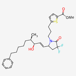 COC(=O)c1ccc(CCCN2C(=O)C(F)(F)CC2C=C[C@@H](O)[C@H](C)CCCCCc2ccccc2)s1